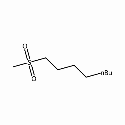 [CH2]CCCCCCCS(C)(=O)=O